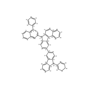 C=C(/N=C1/C=CC=C/C1=C(/C)c1ccccc1)n1c2ccc(-c3ccc4c(c3)c3ccccc3n4C3=CCCC=C3)cc2c2c3ccccc3ccc21